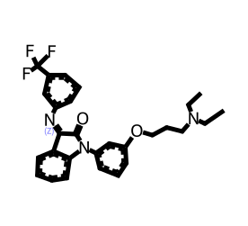 CCN(CC)CCCOc1cccc(N2C(=O)/C(=N\c3cccc(C(F)(F)F)c3)c3ccccc32)c1